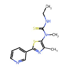 CCNC(=S)N(C)c1sc(-c2cccnc2)nc1C